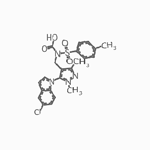 Cc1ccc(S(=O)(=O)N(Cc2c(C)nn(C)c2-n2ccc3cc(Cl)ccc32)C(=O)O)cc1